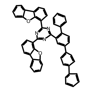 c1ccc(-c2ccc(-c3ccc(-c4ccccc4)c(-c4nc(-c5cccc6c5oc5ccccc56)nc(-c5cccc6c5oc5ccccc56)n4)c3)cc2)cc1